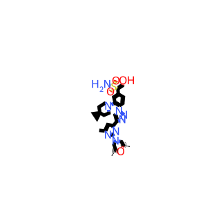 Cc1cc(-c2cn(-c3ccc(C(=CO)S(N)(=O)=O)cc3N3CCC4(CC3)CC4)nn2)nc(N2C[C@@H](C)O[C@@H](C)C2)n1